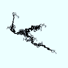 CCCCCCCCCCOC(=O)Nc1ccc(Cc2ccc(NC(=O)C(C)(C)C(=O)NCCN(CCNC(=O)C(C)(C)C(=O)Nc3ccc(Cc4ccc(NC(=O)OCCCCCCCCCC)cc4)cc3)C(=O)Nc3ccc(Cc4ccc(NC(=O)C(C)(C)C(=O)NCCC)cc4)cc3)cc2)cc1